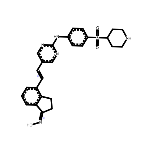 O=S(=O)(c1ccc(Nc2ncc(/C=C/c3cccc4c3CC/C4=N/O)cn2)cc1)C1CCNCC1